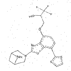 OC(COc1ccc(-c2nccs2)c2oc(N3CC4CC(C3)N4)nc12)C(F)(F)F